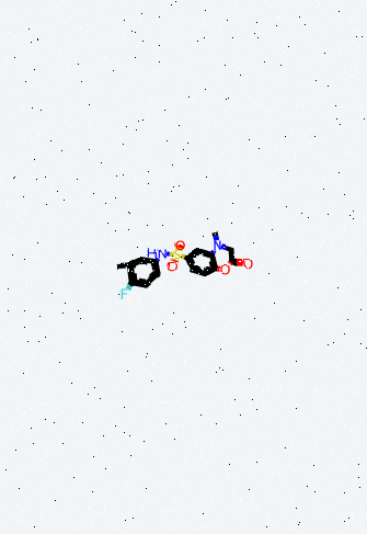 Cc1cc(NS(=O)(=O)c2ccc3c(c2)N(C)CC(=O)O3)ccc1F